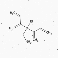 C=CC(=C)C(CC)(CN)C(=C)C=C